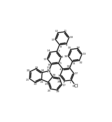 Clc1ccc(-c2cc(-c3ccccc3)ccc2-n2c3ccccc3c3ccccc32)c(-c2ccccc2)c1